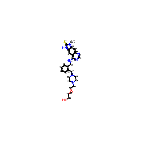 CCn1c(=S)[nH]c2cc3c(NCc4ccccc4CN4CCN(CCOCCO)CC4)ncnc3cc21